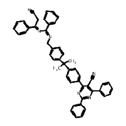 CC(C)(c1ccc(C/N=C(\N=C(/CC#N)c2ccccc2)c2ccccc2)cc1)c1ccc(-c2nc(-c3ccccc3)nc(-c3ccccc3)c2C#N)cc1